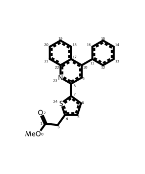 COC(=O)Cc1ccc(-c2cc(-c3ccccc3)c3ccccc3n2)s1